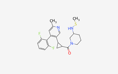 CSNC1CCCN(C(=O)C2CC2c2cnc(C)cc2-c2c(F)cccc2F)C1